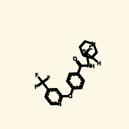 O=C(N[C@H]1CN2CCC1CC2)c1ccc(Oc2cc(C(F)(F)F)ccn2)cc1